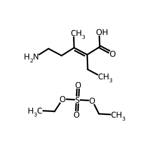 CCC(C(=O)O)=C(C)CCN.CCOS(=O)(=O)OCC